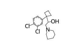 OC(CN1CCCCC1)C1(c2ccc(Cl)c(Cl)c2)CCC1